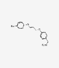 CCC(C)c1ccc(OCCCOc2ccc(COC)cc2)cc1